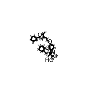 Cc1oc(-c2ccccc2)nc1CCOc1ccc(CC(C)(NCc2ccccc2Cl)C(=O)O)cc1